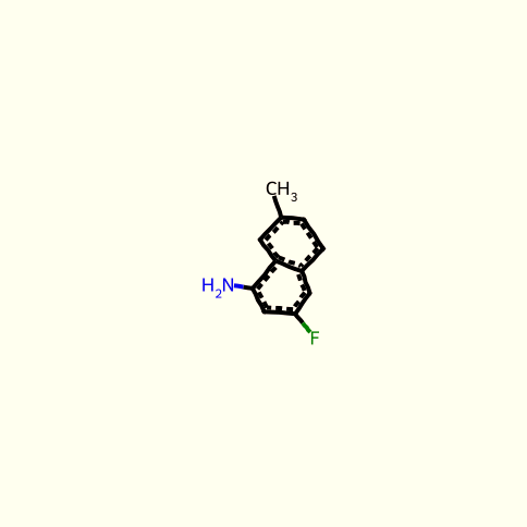 Cc1ccc2cc(F)cc(N)c2c1